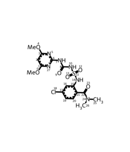 COc1cc(OC)nc(NC(=O)NS(=O)(=O)Nc2cc(Cl)ccc2C(=O)N(C)C)n1